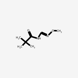 CO/N=C/NC(=O)C(C)(C)C